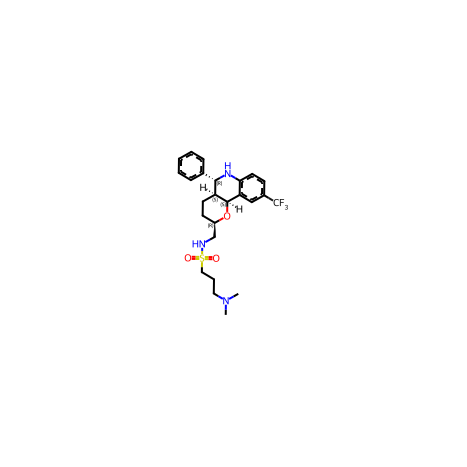 CN(C)CCCS(=O)(=O)NC[C@H]1CC[C@@H]2[C@H](O1)c1cc(C(F)(F)F)ccc1N[C@H]2c1ccccc1